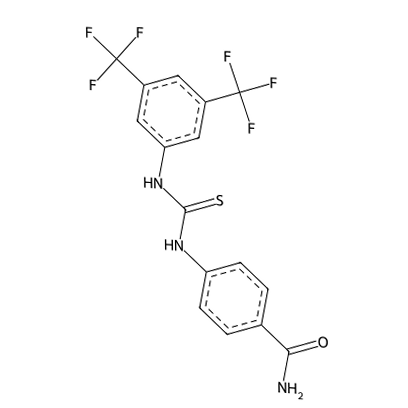 NC(=O)c1ccc(NC(=S)Nc2cc(C(F)(F)F)cc(C(F)(F)F)c2)cc1